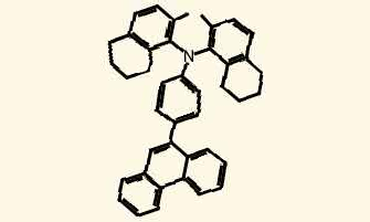 Cc1ccc2c(c1N(c1ccc(-c3cc4ccccc4c4ccccc34)cc1)c1c(C)ccc3c1CCCC3)CCCC2